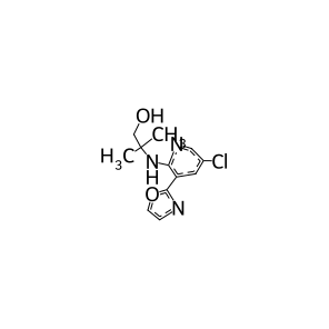 CC(C)(CO)Nc1ncc(Cl)cc1-c1ncco1